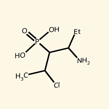 CCC(N)C(C(C)Cl)P(=O)(O)O